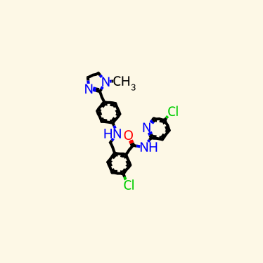 CN1CCN=C1c1ccc(NCc2ccc(Cl)cc2C(=O)Nc2ccc(Cl)cn2)cc1